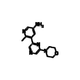 Cc1ncc(N)cc1-c1cncc(N2CCOCC2)n1